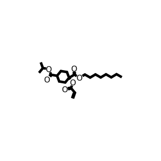 C=CC(=O)OC1(C(=O)OCCCCCCCC)CCC(C(=O)OC(C)C)CC1